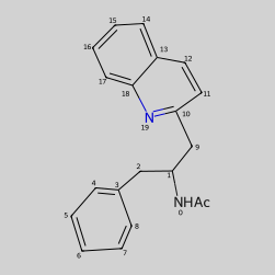 CC(=O)NC(Cc1ccccc1)Cc1ccc2ccccc2n1